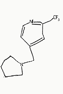 FC(F)(F)c1cc(CN2C[CH]CC2)ccn1